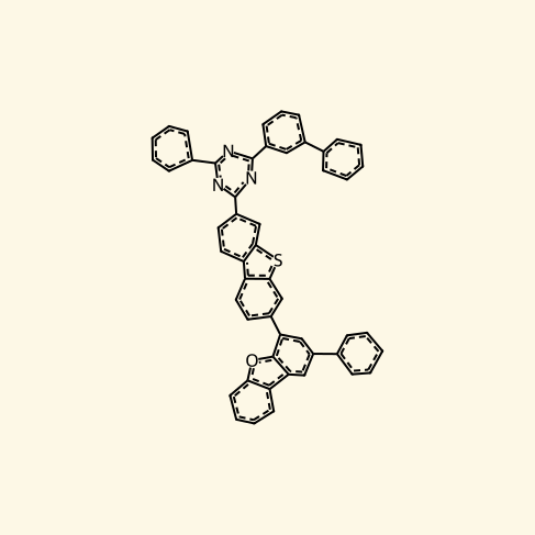 c1ccc(-c2cccc(-c3nc(-c4ccccc4)nc(-c4ccc5c(c4)sc4cc(-c6cc(-c7ccccc7)cc7c6oc6ccccc67)ccc45)n3)c2)cc1